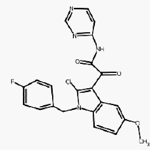 COc1ccc2c(c1)c(C(=O)C(=O)Nc1ccncn1)c(Cl)n2Cc1ccc(F)cc1